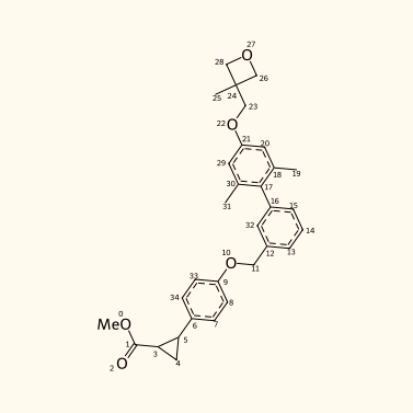 COC(=O)C1CC1c1ccc(OCc2cccc(-c3c(C)cc(OCC4(C)COC4)cc3C)c2)cc1